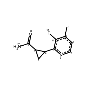 Cc1ccnc(C2CC2C(N)=O)c1F